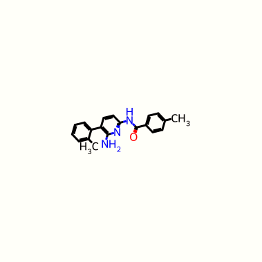 Cc1ccc(C(=O)Nc2ccc(-c3ccccc3C)c(N)n2)cc1